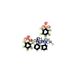 C[N+](C)(C)c1ccccc1.C[N+](C)(C)c1ccccc1.O=S(=O)([O-])c1c(F)c(F)c(F)c(F)c1F.O=S(=O)([O-])c1c(F)c(F)c(F)c(F)c1F